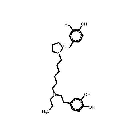 CCCN(CCCCCCN1CCC[C@@H]1Cc1ccc(O)c(O)c1)CCc1ccc(O)c(O)c1